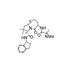 CN[C@@H](C)C(=O)NC1CCSC2CC(C)(C)[C@@H](C(=O)NC3CCc4ccccc43)N2C1=O